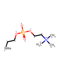 CNCCOP(=O)([O-])OCC[N+](C)(C)C